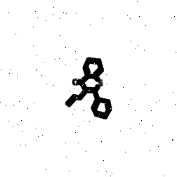 C=CCc1c(-c2ccccc2)sc2ccccc2c1=O